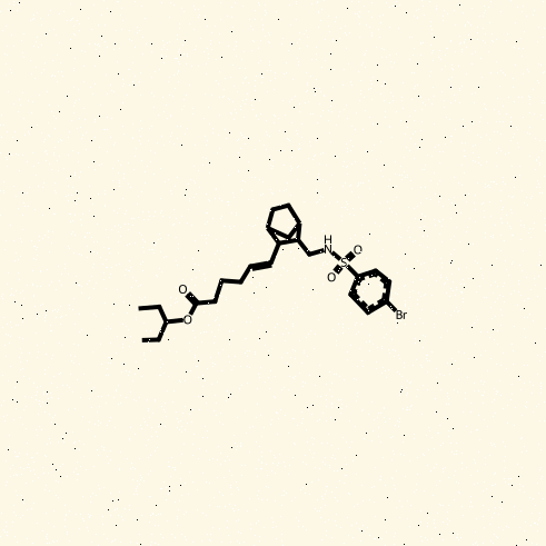 CCC(CC)OC(=O)CCCC=CC1C2CCC(C2)C1CNS(=O)(=O)c1ccc(Br)cc1